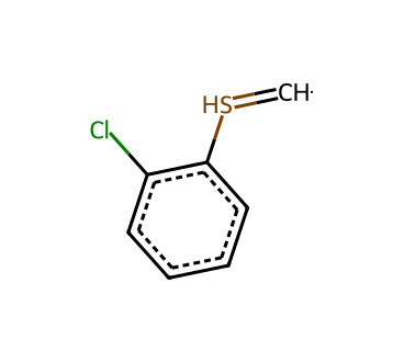 [CH]=[SH]c1ccccc1Cl